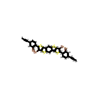 CC#Cc1ccc(-c2sc3c(sc4cc5c(cc43)sc3c(Br)c(-c4ccc(C#CC)cc4Br)sc35)c2Br)c(Br)c1